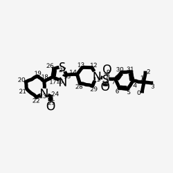 CC(C)(C)c1ccc(S(=O)(=O)N2CCC(c3nc(C4CCCCN4C=O)cs3)CC2)cc1